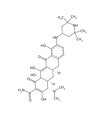 CN(C)[C@@H]1C(O)=C(C(N)=O)C(=O)[C@@]2(O)C(O)=C3C(=O)c4c(ccc(NC5CC(C)(C)NC(C)(C)C5)c4O)C[C@H]3C[C@@H]12